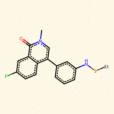 CCSNc1cccc(-c2cn(C)c(=O)c3cc(F)ccc23)c1